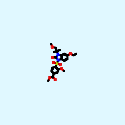 CCOc1ccc2c(c1)n(C(C)(C)COC)c(=O)n2S(=O)(=O)c1ccc(C(=O)OC)cc1OC